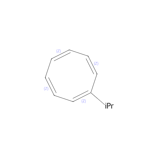 CC(C)C1=C/C=C\C=C/C=C\1